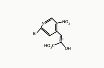 O=C(O)/C(O)=C\c1cc(Br)ncc1[N+](=O)[O-]